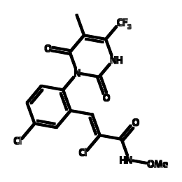 CONC(=O)C(Cl)=Cc1cc(Cl)ccc1-n1c(=O)[nH]c(C(F)(F)F)c(C)c1=O